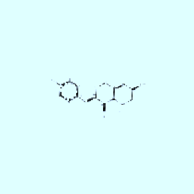 CC12CCC(=O)C=C1CCC(=Cc1ccc(Cl)cc1)C2=O